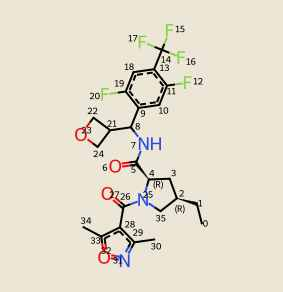 CC[C@@H]1C[C@H](C(=O)NC(c2cc(F)c(C(F)(F)F)cc2F)C2COC2)N(C(=O)c2c(C)noc2C)C1